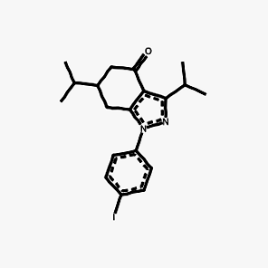 CC(C)c1nn(-c2ccc(I)cc2)c2c1C(=O)CC(C(C)C)C2